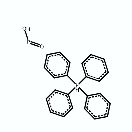 O=PO.c1ccc([PH](c2ccccc2)(c2ccccc2)c2ccccc2)cc1